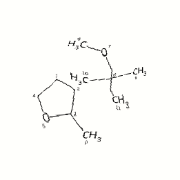 CC1CCCO1.COC(C)(C)C